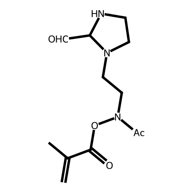 C=C(C)C(=O)ON(CCN1CCNC1C=O)C(C)=O